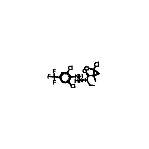 CCN(NNc1c(Cl)cc(C(F)(F)F)cc1Cl)C(=O)C1(C)CC1(Cl)Cl